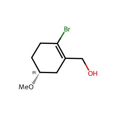 CO[C@@H]1CCC(Br)=C(CO)C1